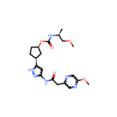 COC[C@H](C)NC(=O)O[C@@H]1CC[C@H](c2cc(NC(=O)Cc3cnc(OC)cn3)n[nH]2)C1